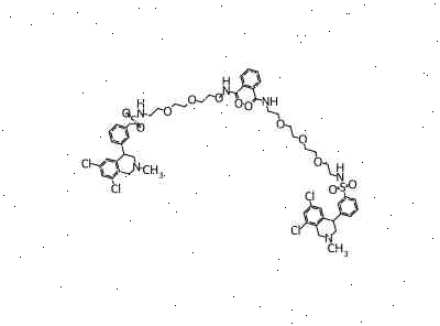 CN1Cc2c(Cl)cc(Cl)cc2C(c2cccc(S(=O)(=O)NCCOCCOCCOCCNC(=O)c3ccccc3C(=O)NOCCOCCOCCNS(=O)(=O)c3cccc(C4CN(C)Cc5c(Cl)cc(Cl)cc54)c3)c2)C1